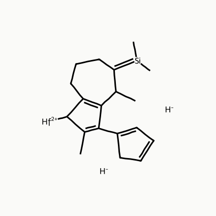 CC1=C(C2=CC=CC2)C2=C(CCCC(=[Si](C)C)C2C)[CH]1[Hf+2].[H-].[H-]